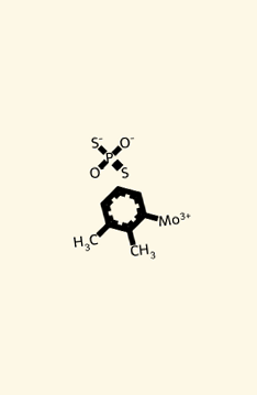 Cc1ccc[c]([Mo+3])c1C.[O-]P([O-])(=S)[S-]